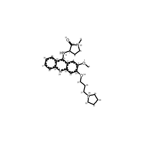 COc1cc2c(NC3CCN(C)C3=O)c3ccccc3nc2cc1OCCCN1CCCC1